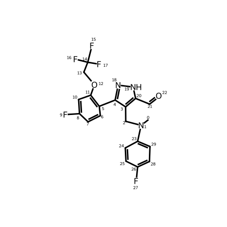 CN(Cc1c(-c2ccc(F)cc2OCC(F)(F)F)n[nH]c1C=O)c1ccc(F)cc1